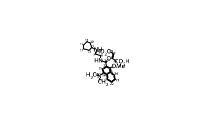 COc1c(C(=O)NCCNC2CCCCC2)cc(N(C)C)c2ccccc12.O=C(O)C=CC(=O)O